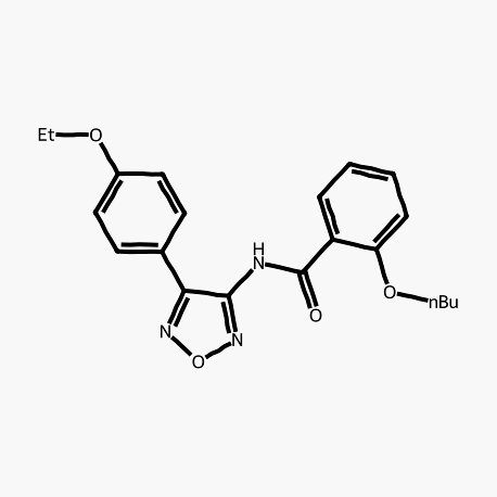 CCCCOc1ccccc1C(=O)Nc1nonc1-c1ccc(OCC)cc1